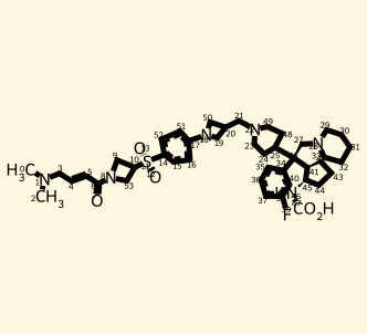 CN(C)C/C=C/C(=O)N1CC(S(=O)(=O)c2ccc(N3CC(CN4CCC([C@@](CN5CCCCC5)(c5cccc(F)c5)[C@H]5CCC[C@@H]5NC(=O)O)CC4)C3)cc2)C1